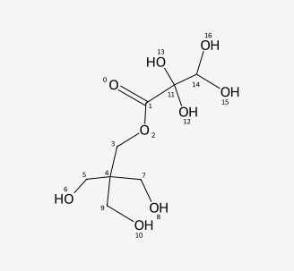 O=C(OCC(CO)(CO)CO)C(O)(O)C(O)O